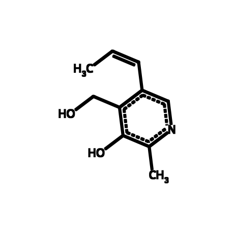 C/C=C\c1cnc(C)c(O)c1CO